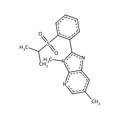 Cc1cnc2c(c1)nc(-c1ccccc1S(=O)(=O)C(C)C)n2C